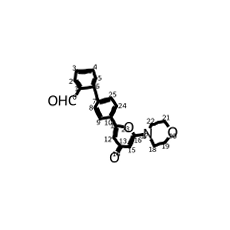 O=Cc1ccccc1-c1ccc(-c2cc(=O)cc(N3CCOCC3)o2)cc1